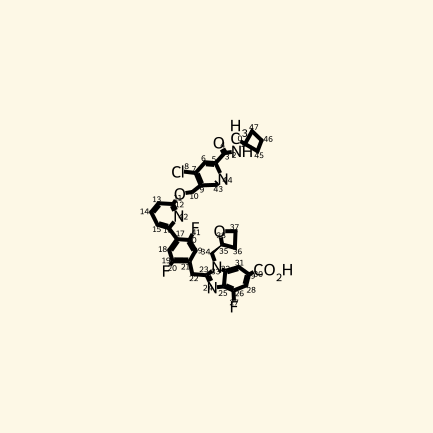 CC1(NC(=O)c2cc(Cl)c(COc3cccc(-c4cc(F)c(Cc5nc6c(F)cc(C(=O)O)cc6n5C[C@@H]5CCO5)cc4F)n3)cn2)CCC1